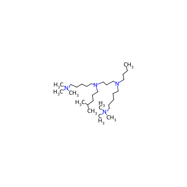 CCCCN(CCCCC[N+](C)(C)C)CCCN(CCCCC[N+](C)(C)C)CCCC(C)C